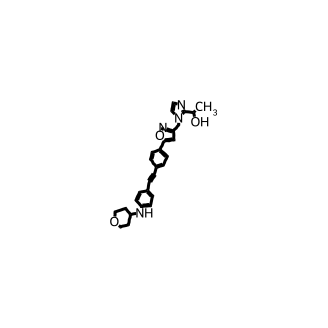 CC(O)c1nccn1Cc1cc(-c2ccc(C#Cc3ccc(NC4CCOCC4)cc3)cc2)on1